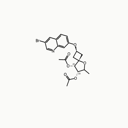 CC(=O)O[C@H]1C(C)O[C@]2(C[C@H](Oc3ccc4cc(Br)cnc4c3)C2)[C@H]1OC(C)=O